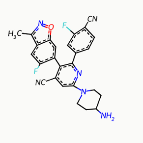 Cc1noc2cc(-c3c(C#N)cc(N4CCC(N)CC4)nc3-c3ccc(C#N)c(F)c3)c(F)cc12